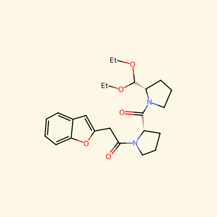 CCOC(OCC)[C@@H]1CCCN1C(=O)[C@@H]1CCCN1C(=O)Cc1cc2ccccc2o1